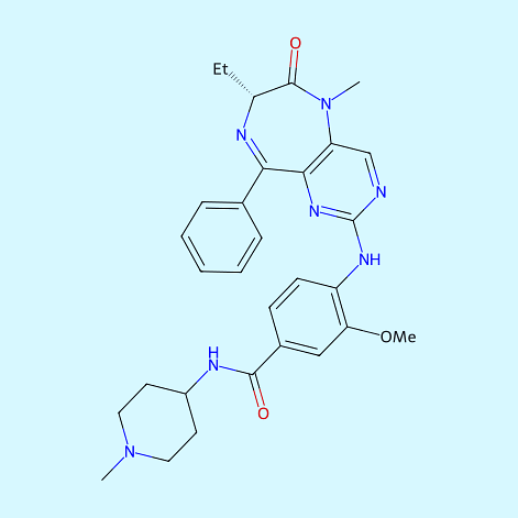 CC[C@H]1N=C(c2ccccc2)c2nc(Nc3ccc(C(=O)NC4CCN(C)CC4)cc3OC)ncc2N(C)C1=O